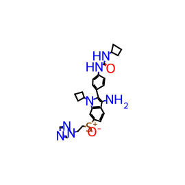 Nc1c(-c2ccc(NC(=O)NC3CCC3)cc2)n(C2CCC2)c2cc([S+]([O-])CCn3cncn3)ccc12